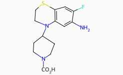 Nc1cc2c(cc1F)SCCN2C1CCN(C(=O)O)CC1